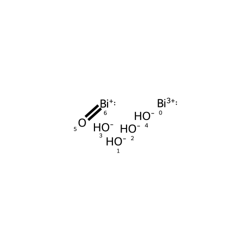 [Bi+3].[OH-].[OH-].[OH-].[OH-].[O]=[Bi+]